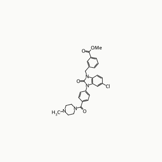 COC(=O)c1cccc(Cn2c(=O)n(-c3ccc(C(=O)N4CCN(C)CC4)cc3)c3cc(Cl)ccc32)c1